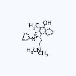 Cc1c2c(c3ccccc3c1O)C(CCCN(C)C)S(=Nc1ccccc1)C2